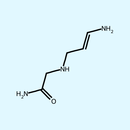 NC=CCNCC(N)=O